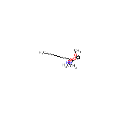 C=CCOc1ccccc1OCC(CNC(C)C)OC(=O)CCCCCCCCCCCCCCCCC